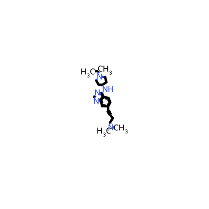 CC(C)N1CCC(Nc2ncnc3cc(C#CCCN(C)C)ccc23)CC1